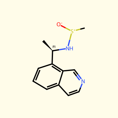 C[C@@H](N[S+](C)[O-])c1cccc2ccncc12